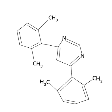 Cc1cccc(C)c1-c1cc(-c2c(C)cccc2C)ncn1